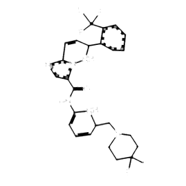 O=C(NC1=CC=CC(CN2CCC(F)(F)CC2)N1)c1cnc2n1NC(c1ccccc1C(F)(F)F)C=C2